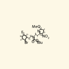 COc1ccc([N+](=O)[O-])c(CCN(CCc2cc(F)ccc2Br)C(=O)OC(C)(C)C)n1